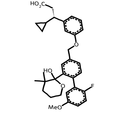 COc1ccc(F)c(-c2ccc(COc3cccc([C@@H](CC(=O)O)C4CC4)c3)cc2C2(O)OCCCC2(C)C)c1